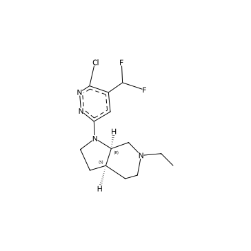 CCN1CC[C@H]2CCN(c3cc(C(F)F)c(Cl)nn3)[C@H]2C1